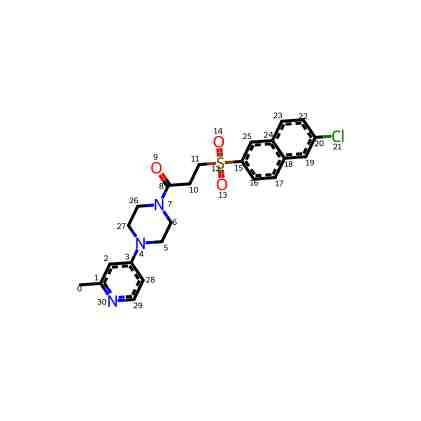 Cc1cc(N2CCN(C(=O)CCS(=O)(=O)c3ccc4cc(Cl)ccc4c3)CC2)ccn1